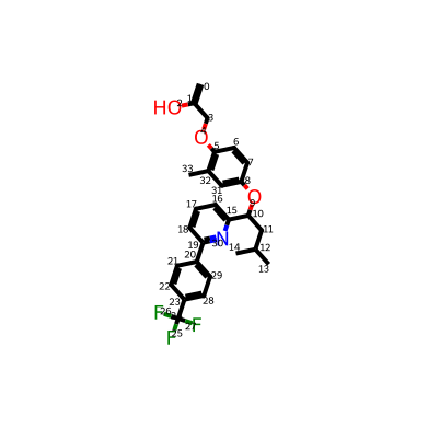 C=C(O)COc1ccc(OC(CC(C)C)c2cccc(-c3ccc(C(F)(F)F)cc3)n2)cc1C